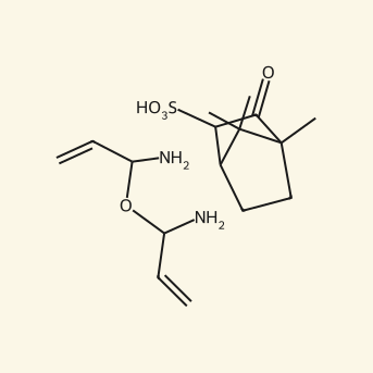 C=CC(N)OC(N)C=C.CC12CCC(C(S(=O)(=O)O)C1=O)C2(C)C